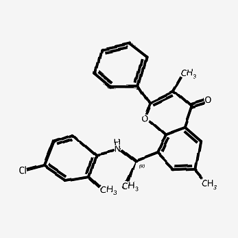 Cc1cc([C@@H](C)Nc2ccc(Cl)cc2C)c2oc(-c3ccccc3)c(C)c(=O)c2c1